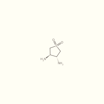 N[C@H]1CS(=O)(=O)C[C@@H]1N